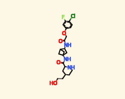 O=C(COc1ccc(Cl)c(F)c1)NC1CC2(NC(=O)C3CC(CCO)CCN3)CC1C2